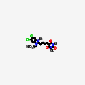 CCN1C(=O)C(=C/C=C/C=C2\N(CC)c3cc(Cl)c(Cl)cc3N2CS(=O)(=O)O)C(=O)N(CC)C1=O